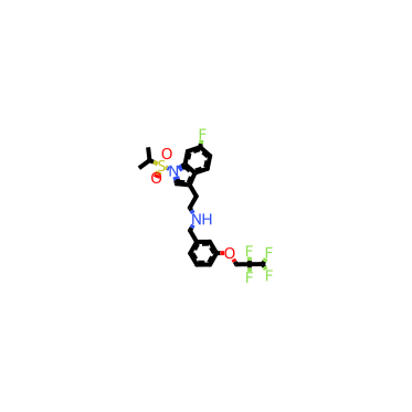 CC(C)S(=O)(=O)n1cc(CCNCc2cccc(OCC(F)(F)C(F)F)c2)c2ccc(F)cc21